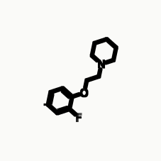 Fc1c[c]ccc1OCCN1CCCCC1